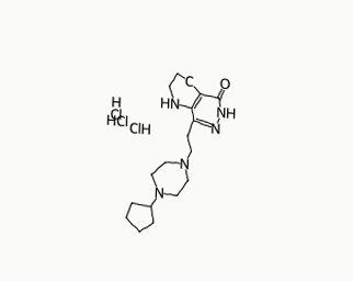 Cl.Cl.Cl.O=c1[nH]nc(CCN2CCN(C3CCCC3)CC2)c2c1CCCN2